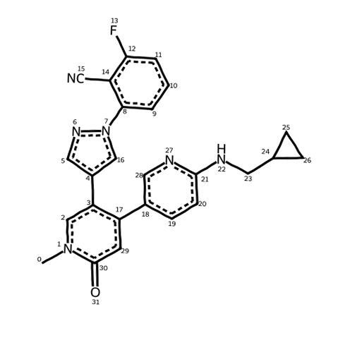 Cn1cc(-c2cnn(-c3cccc(F)c3C#N)c2)c(-c2ccc(NCC3CC3)nc2)cc1=O